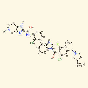 COc1c(CN2CCC(C(=O)O)C2)cc(Cl)c(C(=O)n2cnc3c(-c4cccc(NC(=O)c5nc6c(n5C)CCN(C)C6)c4Cl)cccc32)c1F